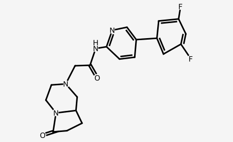 O=C(CN1CCN2C(=O)CCC2C1)Nc1ccc(-c2cc(F)cc(F)c2)cn1